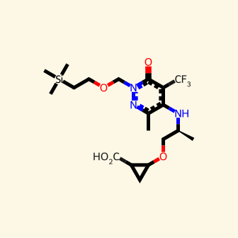 Cc1nn(COCC[Si](C)(C)C)c(=O)c(C(F)(F)F)c1N[C@@H](C)COC1CC1C(=O)O